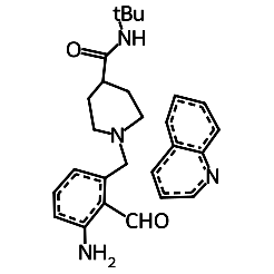 CC(C)(C)NC(=O)C1CCN(Cc2cccc(N)c2C=O)CC1.c1ccc2ncccc2c1